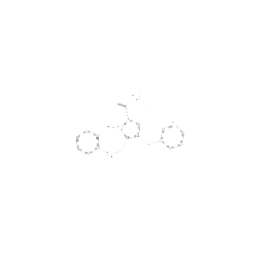 NC(=O)c1cc(Cc2cccnc2)c2n1Cc1ccccc1NC2